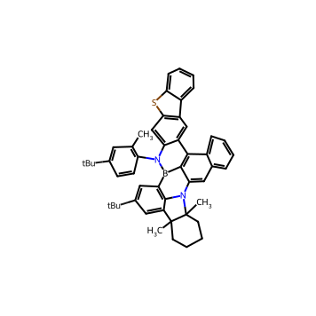 Cc1cc(C(C)(C)C)ccc1N1B2c3cc(C(C)(C)C)cc4c3N(c3cc5ccccc5c(c32)-c2cc3c(cc21)sc1ccccc13)C1(C)CCCCC41C